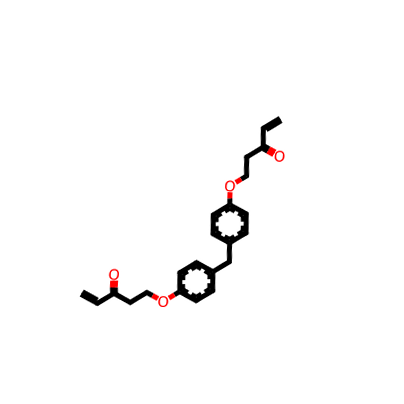 C=CC(=O)CCOc1ccc(Cc2ccc(OCCC(=O)C=C)cc2)cc1